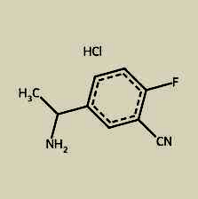 CC(N)c1ccc(F)c(C#N)c1.Cl